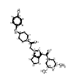 C[C@@H]1CN(C(=O)c2nn(CC(=O)N3CCC(Oc4ccc(Cl)cc4)CC3)c3c2CCC3)C[C@H](C)O1